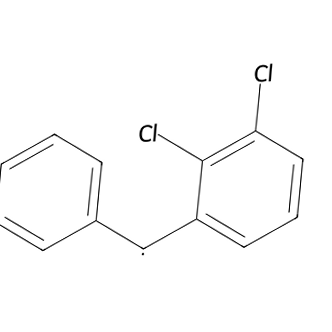 Clc1cccc([CH]c2ccccc2)c1Cl